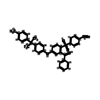 COc1ccc(S(=O)(=O)c2ccc(Oc3ccc(C(c4ccc(C)cc4)(C(F)(F)F)C(F)(F)F)cc3)cc2C(=O)c2ccccc2)cc1